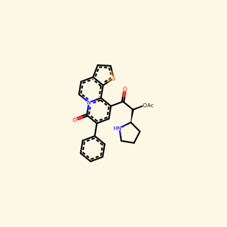 CC(=O)OC(C(=O)c1cc(-c2ccccc2)c(=O)n2ccc3ccsc3c12)[C@H]1CCCN1